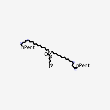 CCCCC/C=C\C/C=C\CCCCCCCCCCN(CCCCCCCCCC/C=C\C/C=C\CCCCC)C(=O)OCCCN(C)C